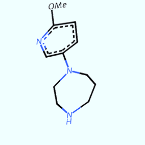 COc1ccc(N2CCCNCC2)cn1